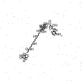 Nc1ncnc2c1ncn2[C@@H]1O[C@H](COP(=O)(O)OP(=O)(O)OP(=O)(O)NCCCNCCCCNCCCNC(=O)CC[C@@H]2SC[C@@H]3NC(=O)N[C@@H]32)C(O)[C@@H]1O